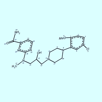 COc1ccc(Cl)cc1N1CCN(CC(O)CN(C)c2nccc(C(N)=O)n2)CC1